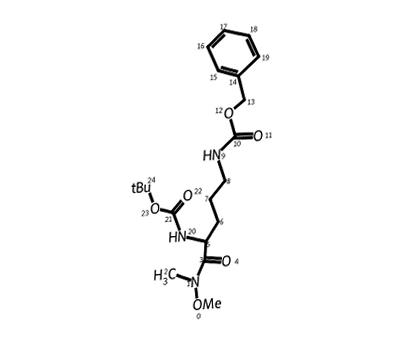 CON(C)C(=O)C(CCCNC(=O)OCc1ccccc1)NC(=O)OC(C)(C)C